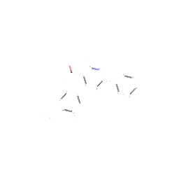 COc1ccc(-c2cc(-c3ccccc3)nc(C)c2C(=O)Cl)cc1OC